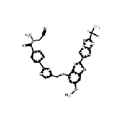 COc1cc(OCc2csc(-c3ccc(C(=O)N(C)CC#N)cc3)n2)c2sc(-c3cn4nc(C(C)(F)F)sc4n3)nc2c1